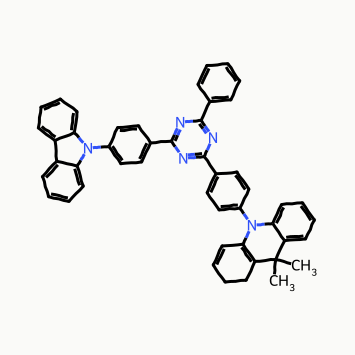 CC1(C)C2=C(C=CCC2)N(c2ccc(-c3nc(-c4ccccc4)nc(-c4ccc(-n5c6ccccc6c6ccccc65)cc4)n3)cc2)c2ccccc21